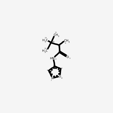 CC(C(=O)Nc1cnoc1)C(C)(C)C